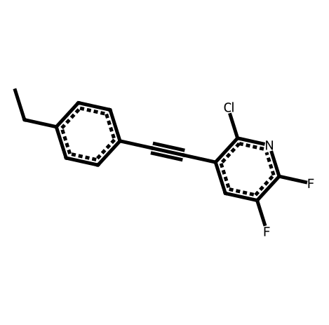 CCc1ccc(C#Cc2cc(F)c(F)nc2Cl)cc1